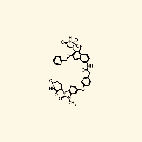 Cn1c(=O)n(C2CCC(=O)NC2=O)c2ccc(Oc3ccc(CC(=O)Nc4ccc5c(F)c(N6CC(=O)NS6(=O)=O)c(OCc6ccccc6)cc5c4)cc3)cc21